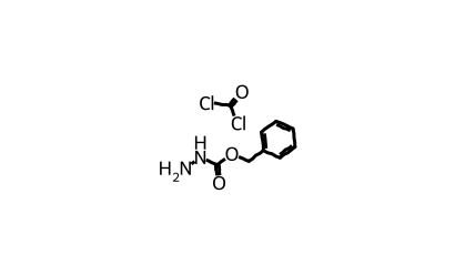 NNC(=O)OCc1ccccc1.O=C(Cl)Cl